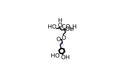 O=C(/C=C/c1ccc(O)c(O)c1)OCC[C@@](O)(C[C@@H](O)CO)C(=O)O